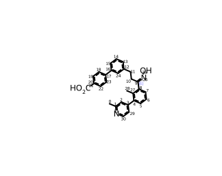 Cc1cc(-c2cccc(/C(CCc3cccc(-c4ccc(C(=O)O)cc4)c3)=N/O)c2C)ccn1